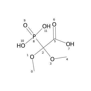 COC(OC)(C(=O)O)P(=O)(O)O